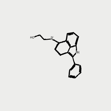 OCCNC1CCc2c(-c3ccccc3)[nH]c3cccc1c23